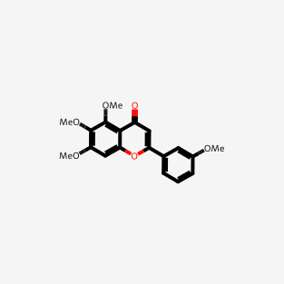 COc1cccc(-c2cc(=O)c3c(OC)c(OC)c(OC)cc3o2)c1